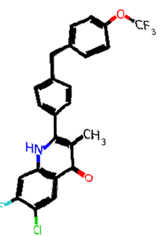 Cc1c(-c2ccc(Cc3ccc(OC(F)(F)F)cc3)cc2)[nH]c2cc(F)c(Cl)cc2c1=O